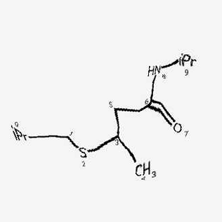 CC(C)CSC(C)CC(=O)NC(C)C